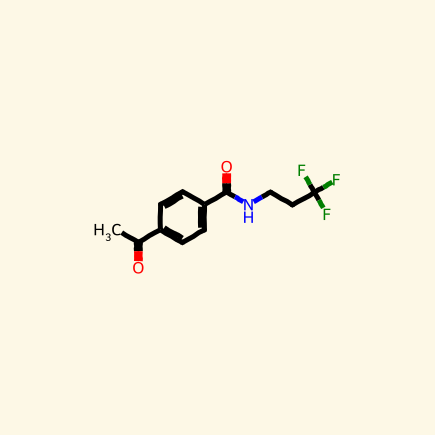 CC(=O)c1ccc(C(=O)NCCC(F)(F)F)cc1